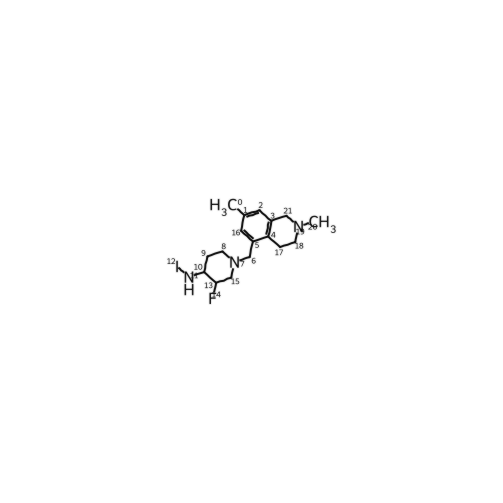 Cc1cc2c(c(CN3CCC(NI)C(F)C3)c1)CCN(C)C2